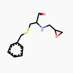 O=CC(CSCc1ccccc1)NCC1CO1